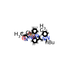 CCCCc1nc2ccc(C)cc2n1Cc1cn(-c2ccccc2S(=O)(=O)Nc2noc(C)c2C)c2ccccc12